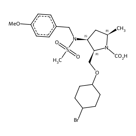 COc1ccc(CN([C@H]2C[C@@H](C)N(C(=O)O)[C@H]2COC2CCC(Br)CC2)S(C)(=O)=O)cc1